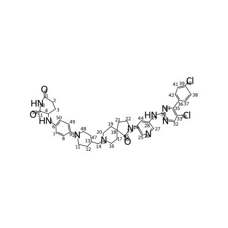 O=C1CCC(Nc2ccc(N3CCC(CN4CCC5(CC4)CCN(c4cncc(Nc6ncc(Cl)c(-c7ccc(Cl)cc7)n6)c4)C5=O)CC3)cc2)C(=O)N1